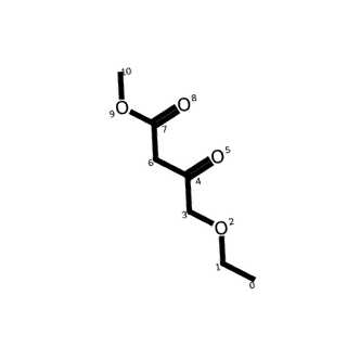 CCOCC(=O)CC(=O)OC